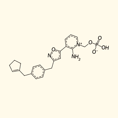 Nc1c(-c2cc(Cc3ccc(CC4=CCCC4)cc3)no2)ccc[n+]1COP(=O)([O-])O